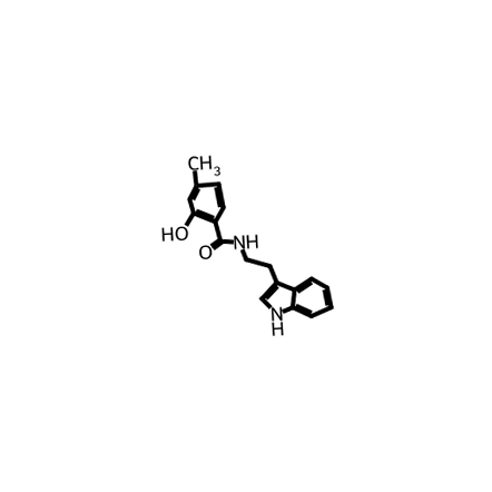 Cc1ccc(C(=O)NCCc2c[nH]c3ccccc23)c(O)c1